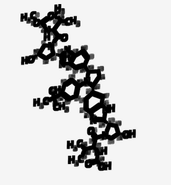 COC(=O)N[C@H](C(=O)N1C[C@@H](O)C[C@H]1c1nc2cc([C@H]3CC[C@H](c4ccc5nc([C@@H]6C[C@H](O)CN6C(=O)[C@@H](NC(=O)O)C(C)C)[nH]c5c4)N3c3ccc(C(C)(C)C)cc3)ccc2[nH]1)C(C)C